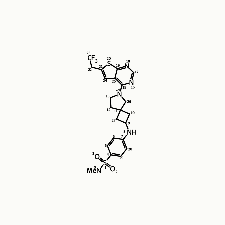 CNS(=O)(=O)c1ccc(NC2CC3(CCN(c4ncnc5sc(CC(F)(F)F)cc45)C3)C2)cc1